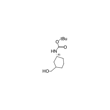 CC(C)(C)OC(=O)N[C@@H]1CCCC(CO)C1